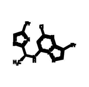 CC(C)c1csc([C@H](C)Nc2cc(Cl)nc3c(C(C)C)cnn23)n1